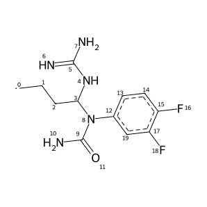 [CH2]CCC(NC(=N)N)N(C(N)=O)c1ccc(F)c(F)c1